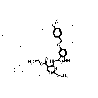 CCOC(=O)c1cnc(SC)nc1Nc1n[nH]c2ccc(OCc3ccc(OC)cc3)cc12